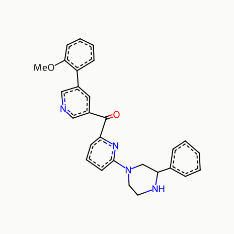 COc1ccccc1-c1cncc(C(=O)c2cccc(N3CCNC(c4ccccc4)C3)n2)c1